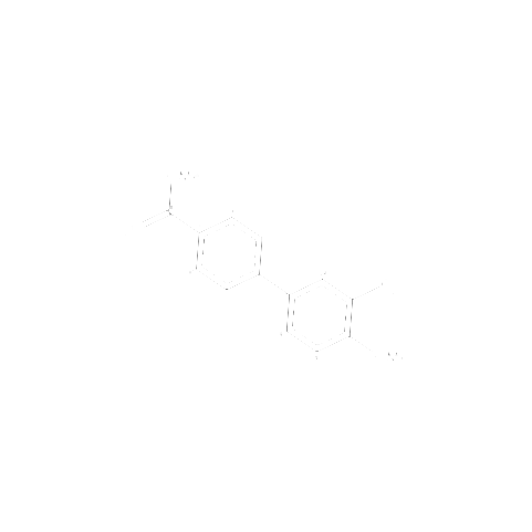 COC(=O)c1ccc(-c2ccc(OC)c(C)c2)cc1